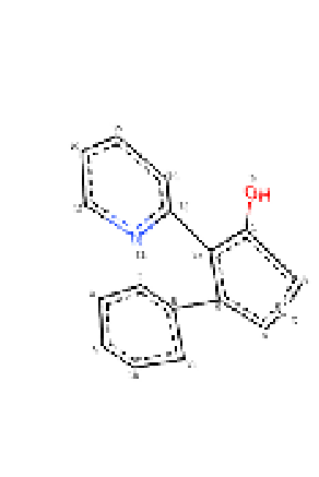 Oc1cccc(-c2ccccc2)c1-c1ccccn1